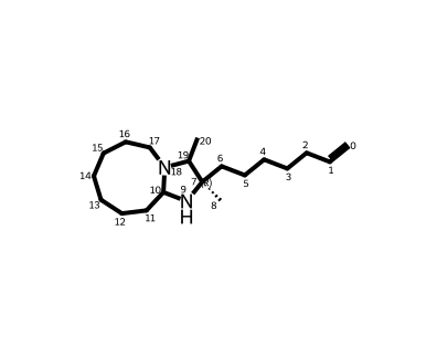 C=CCCCCC[C@@]1(C)NC2CCCCCCCN2C1C